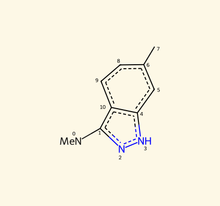 CNc1n[nH]c2cc(C)ccc12